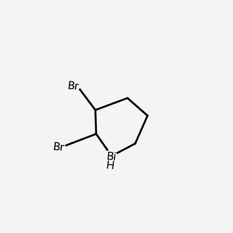 BrC1CC[CH2][BiH][CH]1Br